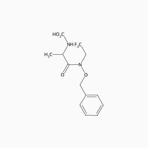 CC(NC(=O)O)C(=O)N(CC(F)(F)F)OCc1ccccc1